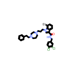 CCc1cccc2c(C(=O)NCc3ccc(Cl)c(Cl)c3)cn(CCCN3CCCN(CCc4ccccc4)CC3)c12